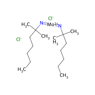 CCCCCC(C)(C)[N]=[Mo+2]=[N]C(C)(C)CCCCC.[Cl-].[Cl-]